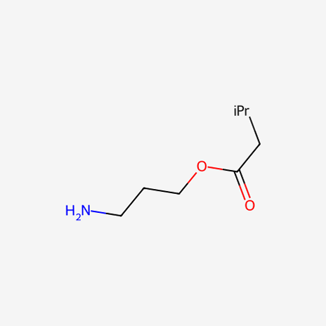 CC(C)CC(=O)OCCCN